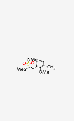 CNS(=O)(=O)/C(=C\c1cccc(C)c1OC)SC